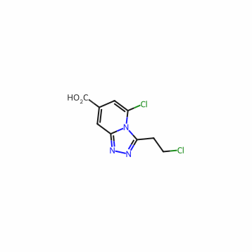 O=C(O)c1cc(Cl)n2c(CCCl)nnc2c1